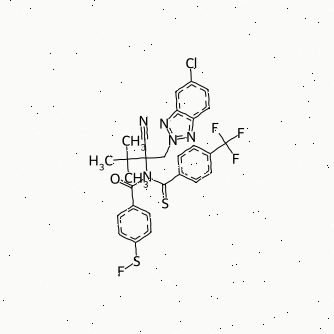 CC(C)(C)C(C#N)(Cn1nc2ccc(Cl)cc2n1)N(C(=O)c1ccc(SF)cc1)C(=S)c1ccc(C(F)(F)F)cc1